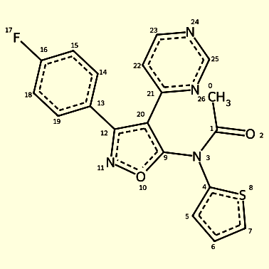 CC(=O)N(c1cccs1)c1onc(-c2ccc(F)cc2)c1-c1ccncn1